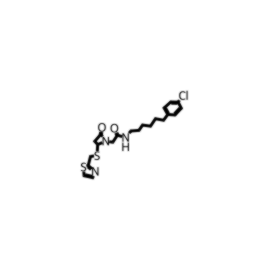 O=C(CN1C(=O)CC1SCc1nccs1)NCCCCCCc1ccc(Cl)cc1